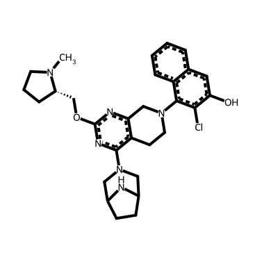 CN1CCC[C@H]1COc1nc2c(c(N3CC4CCC(C3)N4)n1)CCN(c1c(Cl)c(O)cc3ccccc13)C2